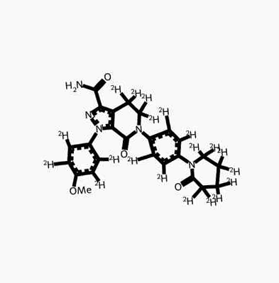 [2H]c1c([2H])c(-n2nc(C(N)=O)c3c2C(=O)N(c2c([2H])c([2H])c(N4C(=O)C([2H])([2H])C([2H])([2H])C([2H])([2H])C4([2H])[2H])c([2H])c2[2H])C([2H])([2H])C3([2H])[2H])c([2H])c([2H])c1OC